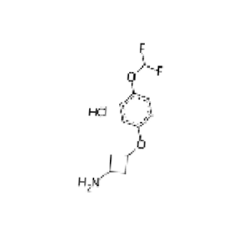 Cl.NC1CC(Oc2ccc(OC(F)F)cc2)C1